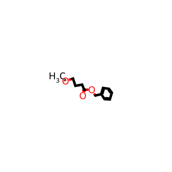 COCCCC(=O)OCc1ccccc1